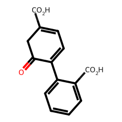 O=C(O)C1=CC=C(c2ccccc2C(=O)O)C(=O)C1